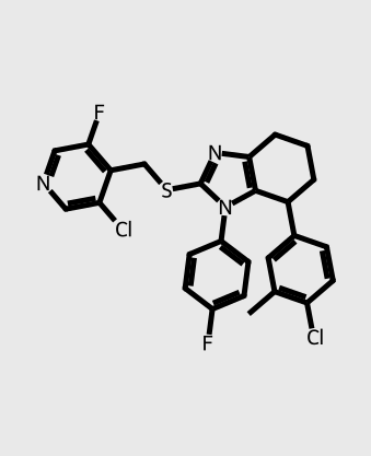 Cc1cc(C2CCCc3nc(SCc4c(F)cncc4Cl)n(-c4ccc(F)cc4)c32)ccc1Cl